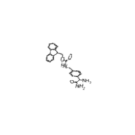 NC(=O)C(N)c1ccc(CNC(=O)OCC2c3ccccc3-c3ccccc32)cc1